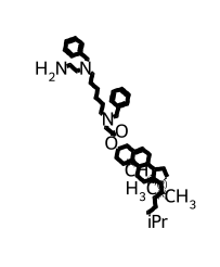 CC(C)CCC[C@@H](C)[C@H]1CCC2C3CC=C4CC(OC(=O)CN(CCCCCCN(CCN)Cc5ccccc5)Cc5ccccc5)CC[C@]4(C)C3CC[C@@]21C